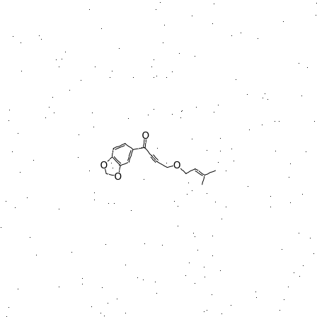 CC(C)=CCOCC#CC(=O)c1ccc2c(c1)OCO2